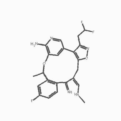 CN/C=C1/Cc2onc(CC(F)F)c2-c2cnc(N)c(c2)OC(C)c2cc(F)ccc2C1=N